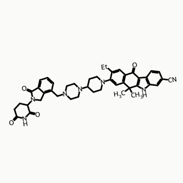 CCc1cc2c(cc1N1CCC(N3CCN(Cc4cccc5c4CN(C4CCC(=O)NC4=O)C5=O)CC3)CC1)C(C)(C)c1[nH]c3cc(C#N)ccc3c1C2=O